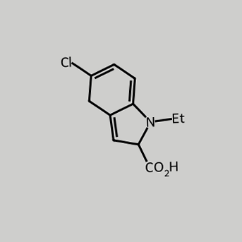 CCN1C2=CC=C(Cl)CC2=CC1C(=O)O